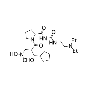 CCN(CC)CCNC(=O)NC(=O)[C@@H]1CCCN1C(=O)C(CC1CCCC1)CN(O)C=O